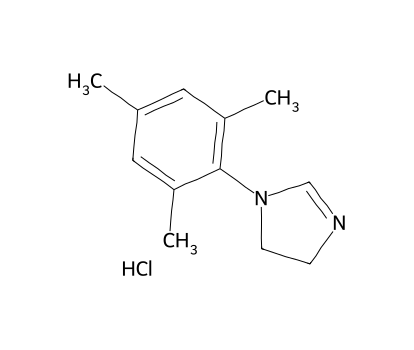 Cc1cc(C)c(N2C=NCC2)c(C)c1.Cl